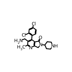 Cc1nc2c(c(-c3ccc(Cl)cc3Cl)c1CN)C(=O)N(C1CCNCC1)C2